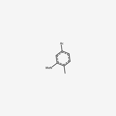 CNc1cc(C(C)=O)ccc1C